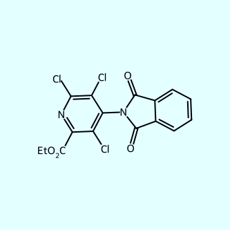 CCOC(=O)c1nc(Cl)c(Cl)c(N2C(=O)c3ccccc3C2=O)c1Cl